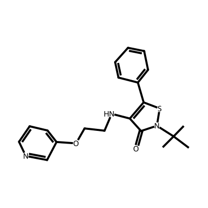 CC(C)(C)n1sc(-c2ccccc2)c(NCCOc2cccnc2)c1=O